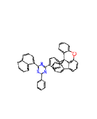 c1ccc(-c2nc(-c3ccc(C45c6ccccc6Oc6cccc(c64)-c4ccccc45)cc3)nc(-c3cccc4ccccc34)n2)cc1